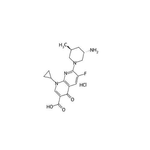 C[C@H]1C[C@H](N)CN(c2nc3c(cc2F)c(=O)c(C(=O)O)cn3C2CC2)C1.Cl